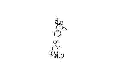 CCOP(=O)(Cc1ccc(COC(=O)CC(=O)ONC(C)=O)cc1)OCC